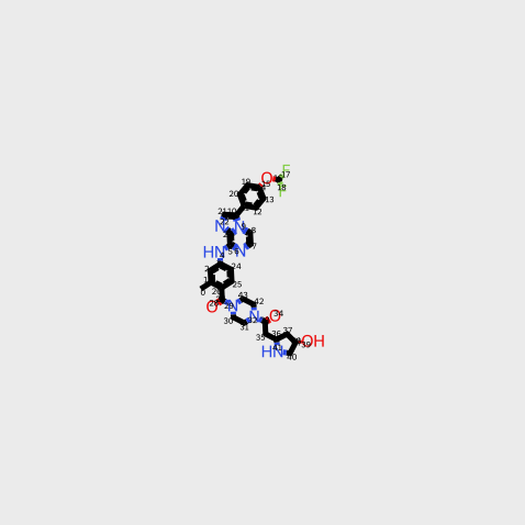 Cc1cc(Nc2nccn3c(-c4ccc(OC(F)F)cc4)cnc23)ccc1C(=O)N1CCN(C(=O)CC2C[C@@H](O)CN2)CC1